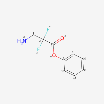 NCC(F)(F)C(=O)Oc1ccccc1